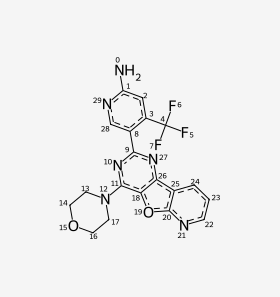 Nc1cc(C(F)(F)F)c(-c2nc(N3CCOCC3)c3oc4ncccc4c3n2)cn1